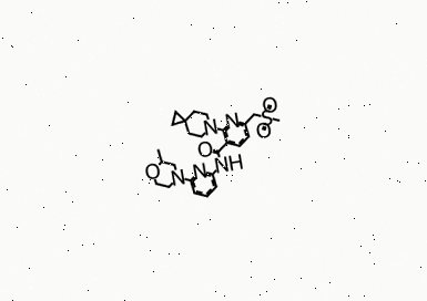 CC1CN(c2cccc(NC(=O)c3ccc(CS(C)(=O)=O)nc3N3CCC4(CC3)CC4)n2)CCO1